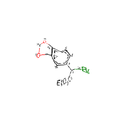 CCOC(=O)C(Br)c1ccc2c(c1)OCO2